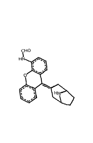 O=CNc1cccc2c1Oc1ccccc1C2=C1CC2CCC(C1)N2